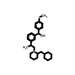 CSc1ccc(C(O)c2cccc(C(C)CN3CCCCC3CC3CCCCC3)c2)cc1